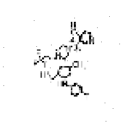 Cc1cc(Nc2ccc(F)cc2)c(C=N)cc1[C@@H]1CN(S(=O)(=O)c2cnccc2C)CCN1CCC(F)(F)F